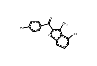 Cc1c(C(=O)c2ccc(Cl)cc2)oc2cccc(O)c12